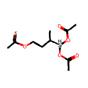 CC(=O)O[SiH](OC(C)=O)C(C)CCOC(C)=S